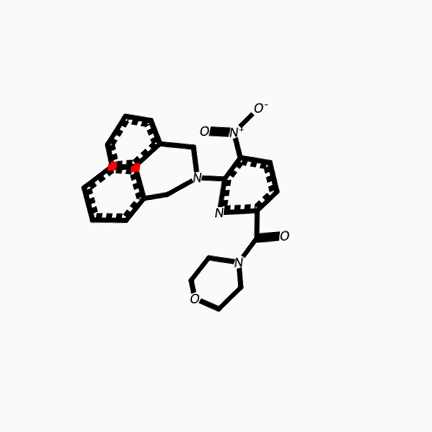 O=C(c1ccc([N+](=O)[O-])c(N(Cc2ccccc2)Cc2ccccc2)n1)N1CCOCC1